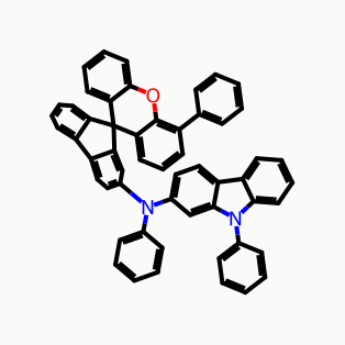 c1ccc(-c2cccc3c2Oc2ccccc2C32c3ccccc3-c3ccc(N(c4ccccc4)c4ccc5c6ccccc6n(-c6ccccc6)c5c4)cc32)cc1